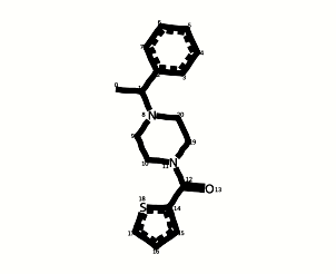 CC(c1ccccc1)N1CCN(C(=O)c2cccs2)CC1